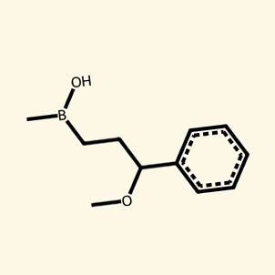 COC(CCB(C)O)c1ccccc1